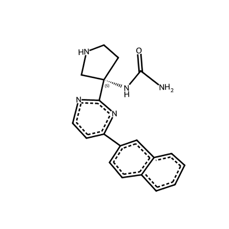 NC(=O)N[C@@]1(c2nccc(-c3ccc4ccccc4c3)n2)CCNC1